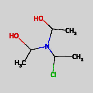 CC(O)N(C(C)O)C(C)Cl